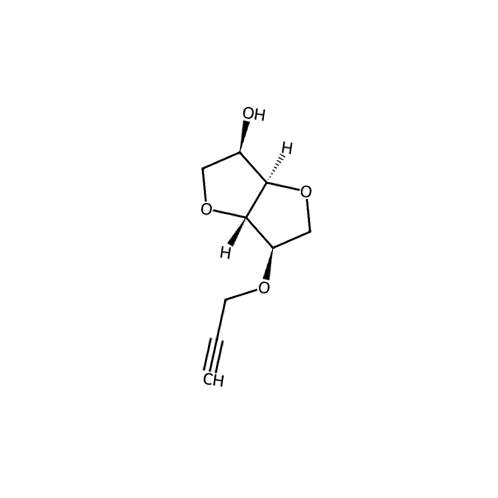 C#CCO[C@@H]1CO[C@H]2[C@H]1OC[C@H]2O